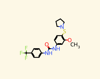 COc1cc(NC(=O)Nc2ccc(C(F)(F)F)cc2)ccc1SN1CCCC1